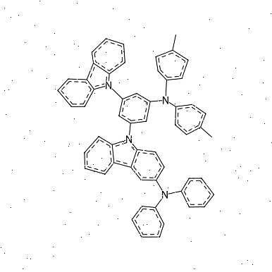 Cc1ccc(N(c2ccc(C)cc2)c2cc(-n3c4ccccc4c4ccccc43)cc(-n3c4ccccc4c4cc(N(c5ccccc5)c5ccccc5)ccc43)c2)cc1